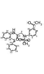 CC(=O)c1cccc(N(CC(=O)Nc2ccccc2Sc2ccccc2)S(C)(=O)=O)c1